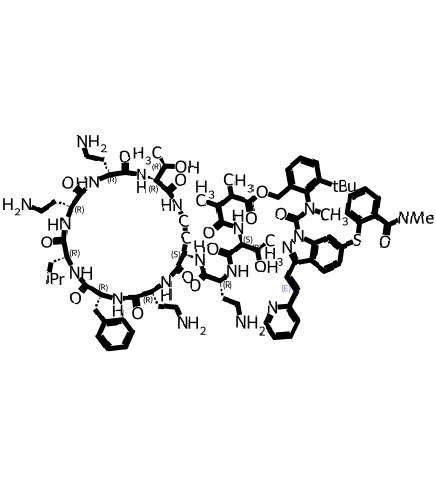 CNC(=O)c1ccccc1Sc1ccc2c(/C=C/c3ccccn3)nn(C(=O)N(C)c3c(COC(=O)C(C)C(C)C(=O)N[C@H](C(=O)N[C@H](CCN)C(=O)N[C@H]4CCNC(=O)[C@@H]([C@@H](C)O)NC(=O)[C@@H](CCN)NC(=O)[C@@H](CCN)NC(=O)[C@@H](CC(C)C)NC(=O)[C@@H](Cc5ccccc5)NC(=O)[C@@H](CCN)NC4=O)[C@@H](C)O)cccc3C(C)(C)C)c2c1